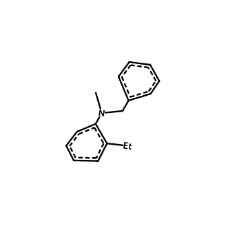 [CH2]Cc1ccccc1N(C)Cc1ccccc1